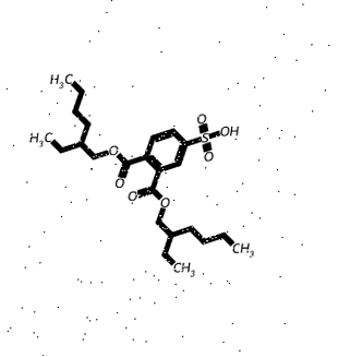 CCCCC(CC)COC(=O)c1ccc(S(=O)(=O)O)cc1C(=O)OCC(CC)CCCC